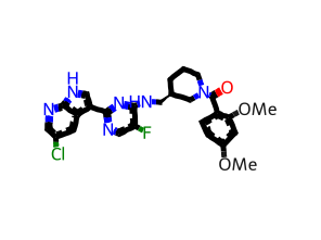 COc1ccc(C(=O)N2CCC[C@H](CNc3nc(-c4c[nH]c5ncc(Cl)cc45)ncc3F)C2)c(OC)c1